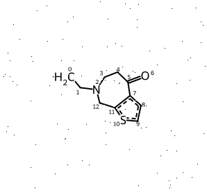 [CH2]CN1CCC(=O)c2ccsc2C1